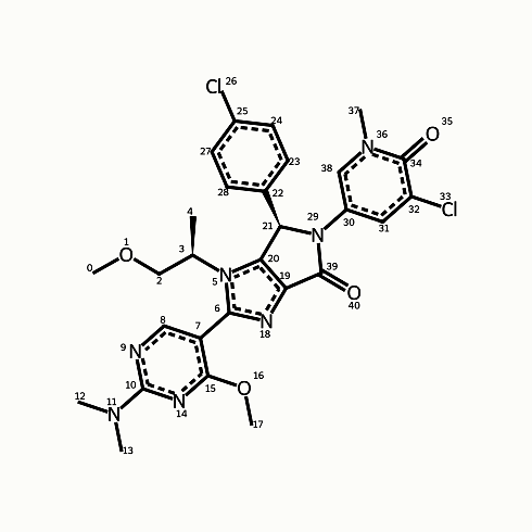 COC[C@@H](C)n1c(-c2cnc(N(C)C)nc2OC)nc2c1[C@@H](c1ccc(Cl)cc1)N(c1cc(Cl)c(=O)n(C)c1)C2=O